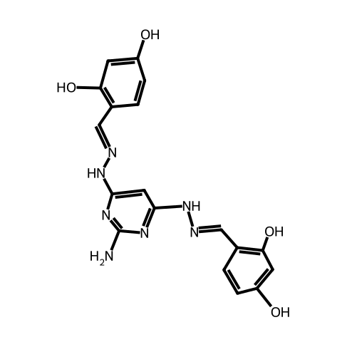 Nc1nc(NN=Cc2ccc(O)cc2O)cc(NN=Cc2ccc(O)cc2O)n1